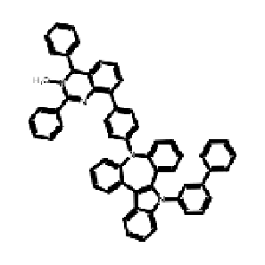 CN1C(c2ccccc2)=Nc2c(-c3ccc(N4c5ccccc5-c5c(n(-c6cccc(-c7ccccc7)c6)c6ccccc56)-c5ccccc54)cc3)cccc2C1c1ccccc1